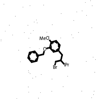 COc1ccc(CC(CBr)C(C)C)cc1OCc1ccccc1